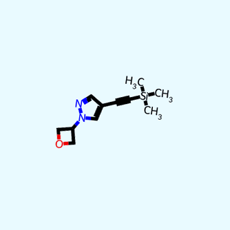 C[Si](C)(C)C#Cc1cnn(C2COC2)c1